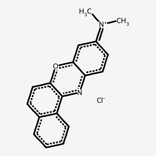 C[N+](C)=c1ccc2nc3c(ccc4ccccc43)oc-2c1.[Cl-]